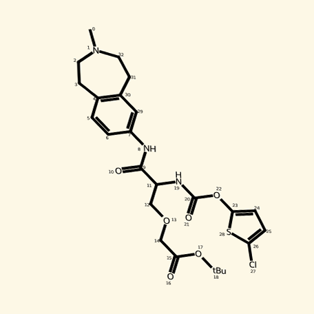 CN1CCc2ccc(NC(=O)C(COCC(=O)OC(C)(C)C)NC(=O)Oc3ccc(Cl)s3)cc2CC1